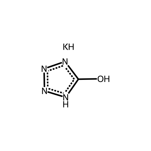 Oc1nnn[nH]1.[KH]